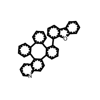 c1ccc2c(c1)-c1ccccc1-c1c(ccc3ncccc13)-c1cccc(-c3cccc4c3oc3ccccc34)c1-2